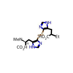 CCC(Cc1[nH]cnc1SSc1nc[nH]c1C[C@H](NC)C(=O)O)C(=O)O